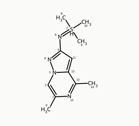 Cc1cn2nc(N=[SH](C)(C)C)cc2c(C)n1